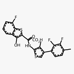 Cc1ccc(-c2csc(NC(=O)c3sc4c(F)cccc4c3O)c2C(=O)O)c(F)c1F